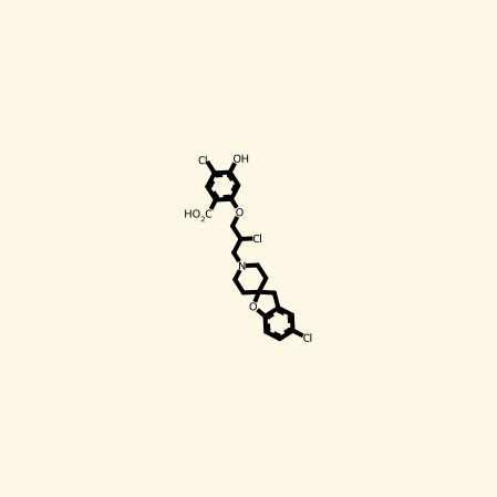 O=C(O)c1cc(Cl)c(O)cc1OCC(Cl)CN1CCC2(CC1)Cc1cc(Cl)ccc1O2